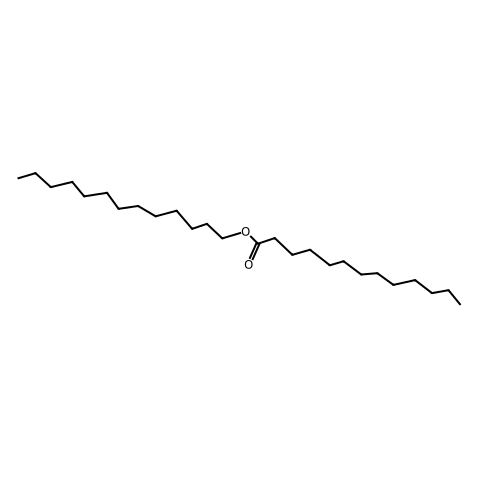 CCCCCCCCCCCCCOC(=O)CCCCCCCCCCCC